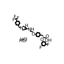 Cl.Cl.O=C(O)[C@H](Cc1ccc(OCCN[C@H]2C3CN(Cc4ccc(C(F)(F)F)cc4)C[C@@H]32)cc1)Oc1cc(F)cc(F)c1